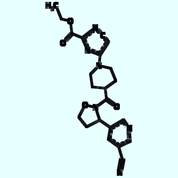 CCOC(=O)c1nccc(N2CCC(C(=O)N3OCCC3c3cncc(C#N)c3)CC2)n1